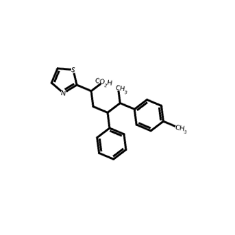 Cc1ccc(C(C)C(CC(C(=O)O)c2nccs2)c2ccccc2)cc1